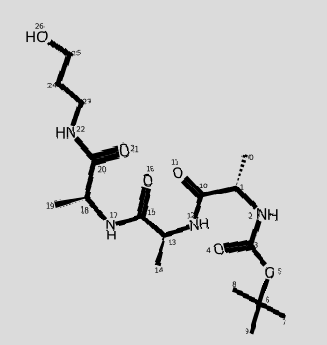 C[C@H](NC(=O)OC(C)(C)C)C(=O)N[C@@H](C)C(=O)N[C@@H](C)C(=O)NCCCO